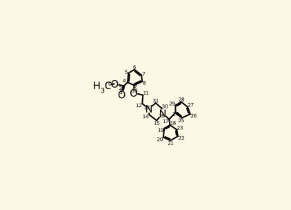 COC(=O)c1ccccc1OCCN1CCN(C(c2ccccc2)c2ccccc2)CC1